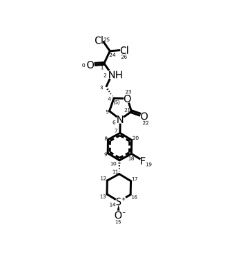 O=C(NC[C@H]1CN(c2ccc([C@H]3CC[S@+]([O-])CC3)c(F)c2)C(=O)O1)C(Cl)Cl